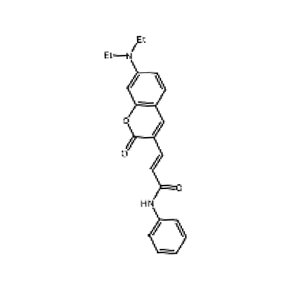 CCN(CC)c1ccc2cc(/C=C/C(=O)Nc3ccccc3)c(=O)oc2c1